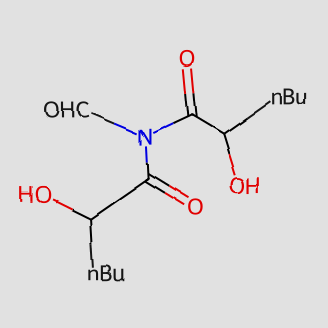 CCCCC(O)C(=O)N(C=O)C(=O)C(O)CCCC